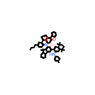 CCCCc1ccc(N2c3ccc4c(oc5ccccc54)c3Bc3c(-c4cc5c(cc4Nc4ccc(C)cc4)C(C)(C)CCC5(C)C)cc4c(c32)C(C)(C)c2ccccc2-4)c(-c2ccccc2)c1